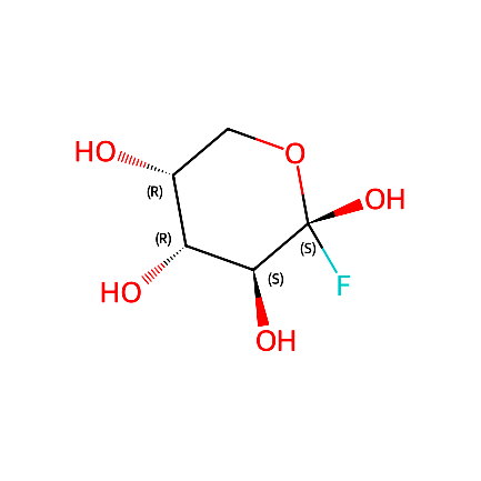 O[C@@H]1[C@H](O)CO[C@](O)(F)[C@H]1O